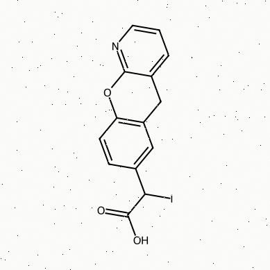 O=C(O)C(I)c1ccc2c(c1)Cc1cccnc1O2